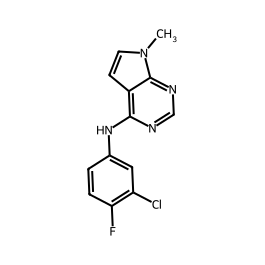 Cn1ccc2c(Nc3ccc(F)c(Cl)c3)ncnc21